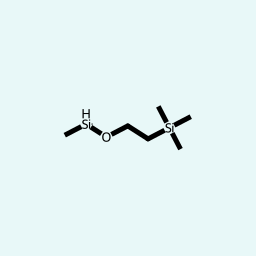 C[SiH]OCC[Si](C)(C)C